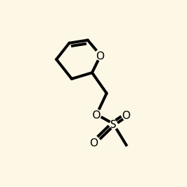 CS(=O)(=O)OCC1CCC=CO1